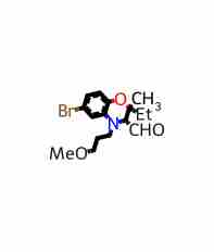 CCC1(C)Oc2ccc(Br)cc2N(CCCOC)C1C=O